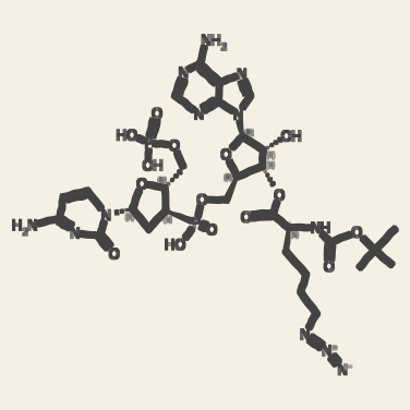 CC(C)(C)OC(=O)N[C@@H](CCCCN=[N+]=[N-])C(=O)O[C@H]1[C@@H](O)[C@H](n2cnc3c(N)ncnc32)O[C@@H]1COP(=O)(O)[C@H]1C[C@H](n2ccc(N)nc2=O)O[C@@H]1COP(=O)(O)O